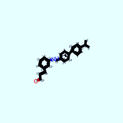 CC(C)c1ccc(C23CCC(CNc4cccc(/C=C/[C]=O)c4)(CC2)CC3)cc1